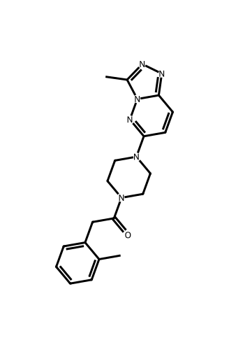 Cc1ccccc1CC(=O)N1CCN(c2ccc3nnc(C)n3n2)CC1